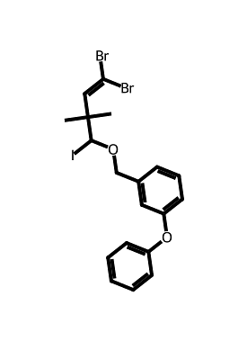 CC(C)(C=C(Br)Br)C(I)OCc1cccc(Oc2ccccc2)c1